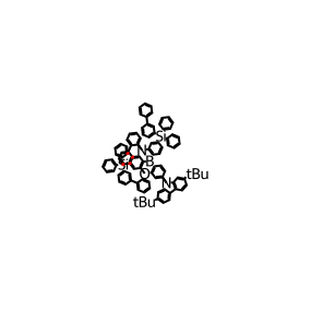 CC(C)(C)c1ccc2c3ccc(C(C)(C)C)cc3n(-c3ccc4c(c3)Oc3cc([Si](c5ccccc5)(c5ccccc5)c5cccc(-c6ccccc6)c5)cc5c3B4c3ccc([Si](c4ccccc4)(c4ccccc4)c4cccc(-c6ccccc6)c4)cc3N5c3ccccc3-c3ccccc3)c2c1